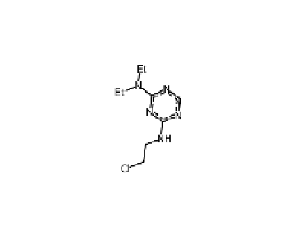 CCN(CC)c1ncnc(NCCCl)n1